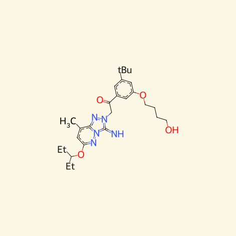 CCC(CC)Oc1cc(C)c2nn(CC(=O)c3cc(OCCCCO)cc(C(C)(C)C)c3)c(=N)n2n1